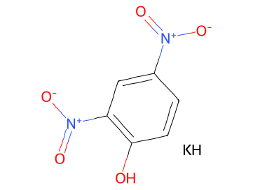 O=[N+]([O-])c1ccc(O)c([N+](=O)[O-])c1.[KH]